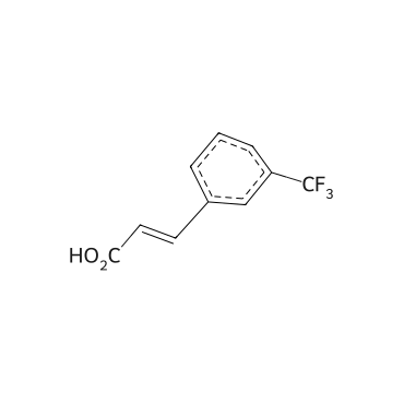 O=C(O)/C=C/c1cccc(C(F)(F)F)c1